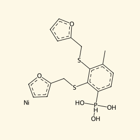 Cc1ccc([PH](O)(O)O)c(SCc2ccco2)c1SCc1ccco1.[Ni]